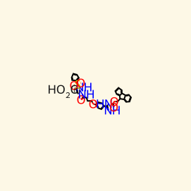 N=C(NC(=O)OCC1c2ccccc2-c2ccccc21)c1ccc(OCCCC(=O)NC[C@H](NS(=O)(=O)c2ccccc2)C(=O)O)cc1